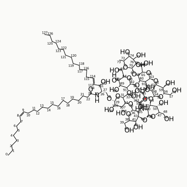 CCCCCCCC/C=C\CCCCCCCCCCCCCC(=O)N[C@@H](CO[C@@H]1OC(CO)[C@@H](O[C@@H]2OC(CO)[C@H](O)[C@H](O[C@@H]3OC(CO)[C@@H](O)[C@H](O[C@@H]4OC(CO)[C@H](O)[C@H](O[C@@H]5OC(CO)[C@@H](O[C@H]6OC(C)[C@@H](O)C(O)[C@@H]6O)[C@H](O[C@@H]6OC(CO)[C@H](O)[C@H](O)C6O)C5NC(C)=O)C4O)C3NC(C)=O)C2O)[C@H](O)C1O)[C@H](O)/C=C/CCCCCCCCCCCCC